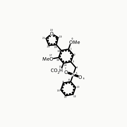 COc1cc(CS(=O)(=O)c2ccccc2)c(C(=O)O)c(OC)c1-c1ccoc1